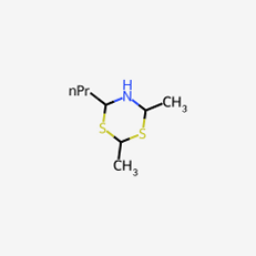 CCCC1NC(C)SC(C)S1